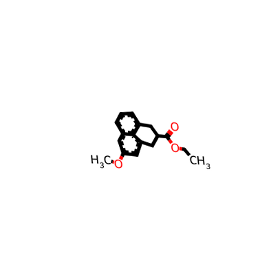 CCOC(=O)C1Cc2cccc3cc(OC)cc(c23)C1